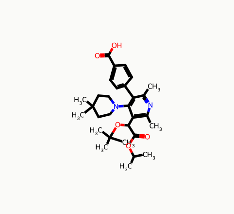 Cc1nc(C)c(C(OC(C)(C)C)C(=O)OC(C)C)c(N2CCC(C)(C)CC2)c1-c1ccc(C(=O)O)cc1